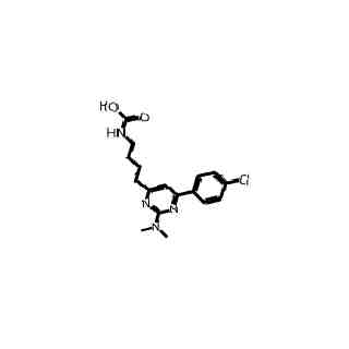 CN(C)c1nc(CCCCNC(=O)O)cc(-c2ccc(Cl)cc2)n1